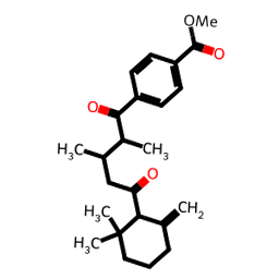 C=C1CCCC(C)(C)C1C(=O)CC(C)C(C)C(=O)c1ccc(C(=O)OC)cc1